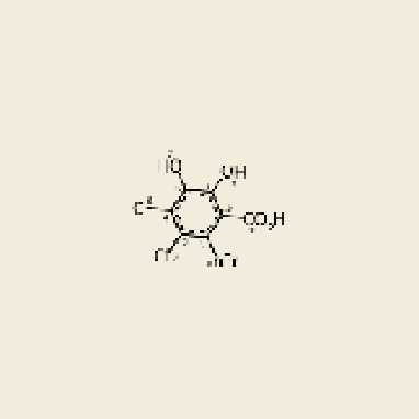 CCCc1c(Cl)c(Cl)c(O)c(O)c1C(=O)O